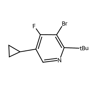 CC(C)(C)c1ncc(C2CC2)c(F)c1Br